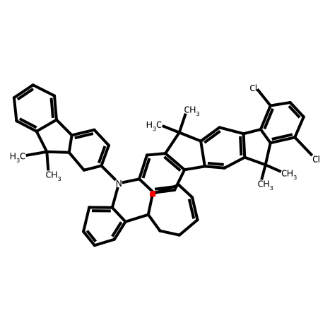 CC1(C)c2cc(N(C3=CC=C4c5ccccc5C(C)(C)C4C3)c3ccccc3C3CCC=CCC3)ccc2-c2cc3c(cc21)-c1c(Cl)ccc(Cl)c1C3(C)C